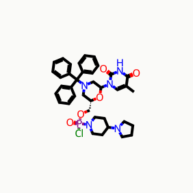 Cc1cn(C2CN(C(c3ccccc3)(c3ccccc3)c3ccccc3)C[C@@H](COP(=O)(Cl)N3CCC(N4CCCC4)CC3)O2)c(=O)[nH]c1=O